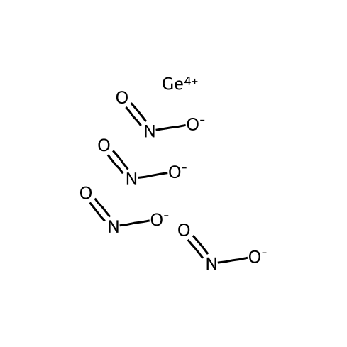 O=N[O-].O=N[O-].O=N[O-].O=N[O-].[Ge+4]